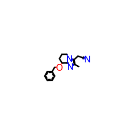 Cc1nc2n(c1CC#N)CCCC2OCc1ccccc1